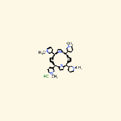 CN1C=CC=C(c2c3nc(c(C4=CC=CN(C)C4)c4ccc([se]4)c(C4=CC=CN(C)C4)c4nc(c(C5=CC=CN(C)C5)c5ccc2[se]5)C=C4)C=C3)C1.Cl